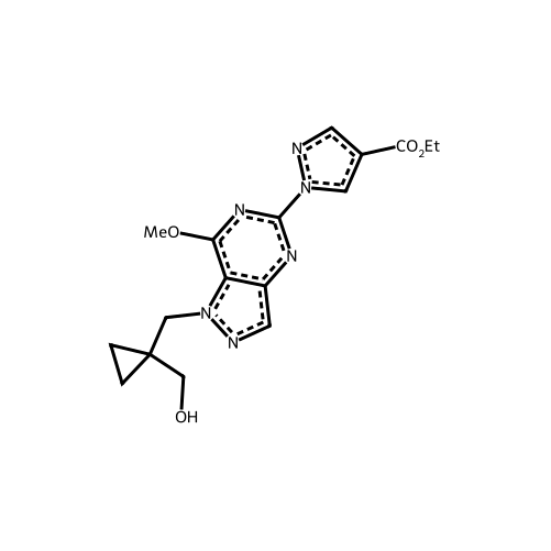 CCOC(=O)c1cnn(-c2nc(OC)c3c(cnn3CC3(CO)CC3)n2)c1